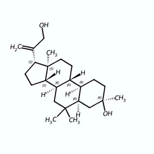 C=C(CO)[C@H]1CC[C@H]2[C@@H]3CC(C)(C)[C@@H]4C[C@](C)(O)CC[C@@H]4[C@H]3CC[C@]12C